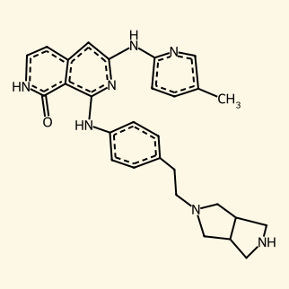 Cc1ccc(Nc2cc3cc[nH]c(=O)c3c(Nc3ccc(CCN4CC5CNCC5C4)cc3)n2)nc1